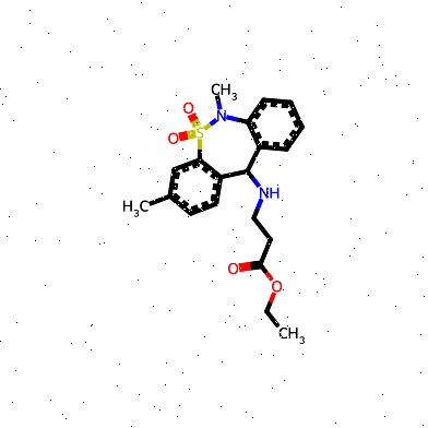 CCOC(=O)CCNC1c2ccccc2N(C)S(=O)(=O)c2cc(C)ccc21